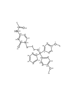 COc1ccc(C(OC[CH]Cn2ccc(NC(C)=O)nc2=O)(c2ccccc2)c2ccc(OC)cc2)cc1